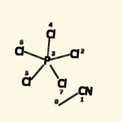 CC#N.ClP(Cl)(Cl)(Cl)Cl